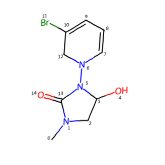 CN1CC(O)N(N2C=CC=C(Br)C2)C1=O